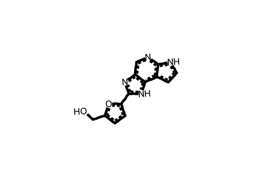 OCc1ccc(-c2nc3cnc4[nH]ccc4c3[nH]2)o1